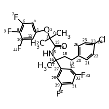 CC(C)(Oc1cc(F)c(F)c(F)c1)C(=O)NC(C)(CCc1ccc(Cl)cc1)c1cc(F)cc(F)c1